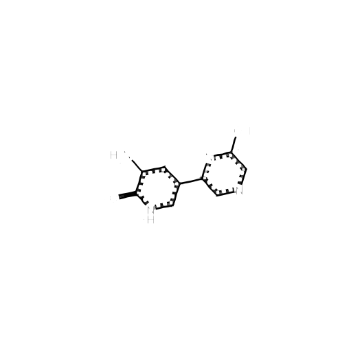 Nc1cc(-c2cncc(O)n2)c[nH]c1=O